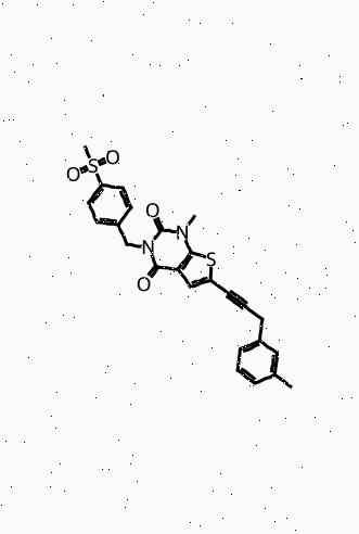 Cc1cccc(CC#Cc2cc3c(=O)n(Cc4ccc(S(C)(=O)=O)cc4)c(=O)n(C)c3s2)c1